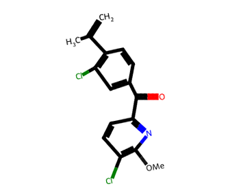 C=C(C)c1ccc(C(=O)c2ccc(Cl)c(OC)n2)cc1Cl